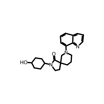 O=C1N(C2CCC(O)CC2)CCC12CCCN(c1cccc3cccnc13)C2